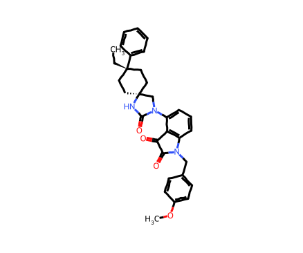 CC[C@]1(c2ccccc2)CC[C@]2(CC1)CN(c1cccc3c1C(=O)C(=O)N3Cc1ccc(OC)cc1)C(=O)N2